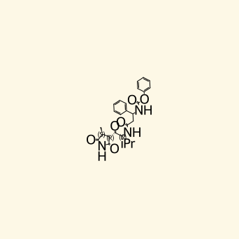 CC(C)[C@H](NC(=O)CC(NC(=O)Oc1ccccc1)c1ccccc1)C(=O)[C@@H]1C(=O)NC(=O)[C@H]1C